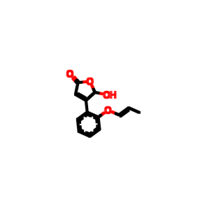 CC=COc1ccccc1C1=CC(=O)OC1O